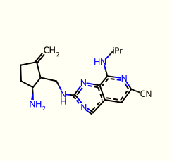 C=C1CC[C@H](N)C1CNc1ncc2cc(C#N)nc(NC(C)C)c2n1